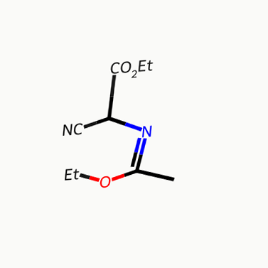 CCOC(=O)C(C#N)/N=C(/C)OCC